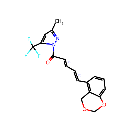 Cc1cc(C(F)(F)F)n(C(=O)/C=C/C=C/c2cccc3c2COCO3)n1